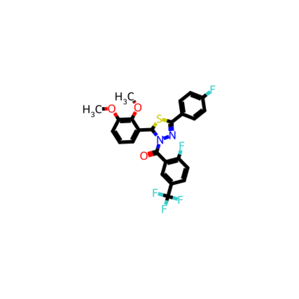 COc1cccc(C2SC(c3ccc(F)cc3)=NN2C(=O)c2cc(C(F)(F)F)ccc2F)c1OC